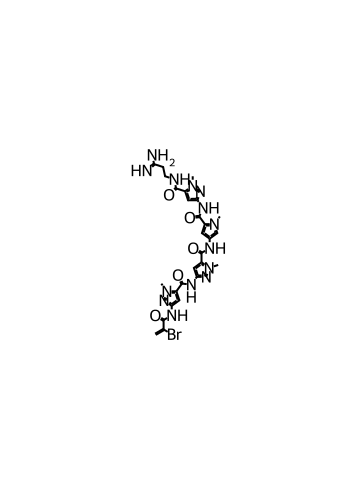 C=C(Br)C(=O)Nc1cc(C(=O)Nc2cc(C(=O)Nc3cc(C(=O)Nc4cc(C(=O)NCCC(=N)N)n(C)n4)n(C)c3)n(C)n2)n(C)n1